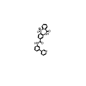 O=C(Nc1cccc(-c2cccnc2)c1)c1ccc2c(c1)NC(=O)c1ccccc1S2(=O)=O